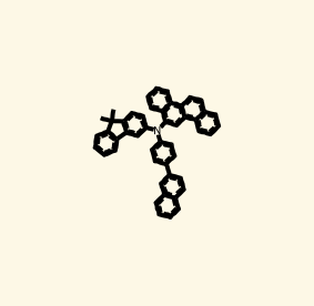 CC1(C)c2ccccc2-c2cc(N(c3ccc(-c4ccc5ccccc5c4)cc3)c3cc4c5ccccc5ccc4c4ccccc34)ccc21